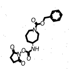 O=C(N[C@@H]1CCCN(C(=O)OCc2ccccc2)CC1)ON1C(=O)CCC1=O